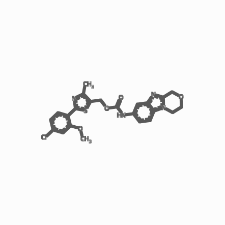 COc1cc(Cl)ccc1-c1nc(C)c(COC(=O)Nc2ccc3c(c2)nc2n3CCOC2)s1